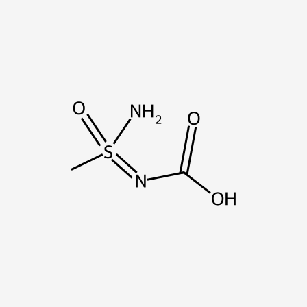 CS(N)(=O)=NC(=O)O